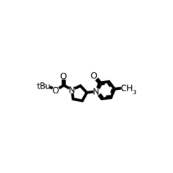 Cc1ccn(C2CCN(C(=O)OC(C)(C)C)C2)c(=O)c1